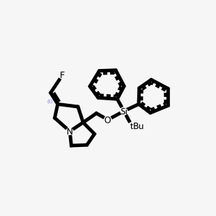 CC(C)(C)[Si](OCC12CCCN1C/C(=C/F)C2)(c1ccccc1)c1ccccc1